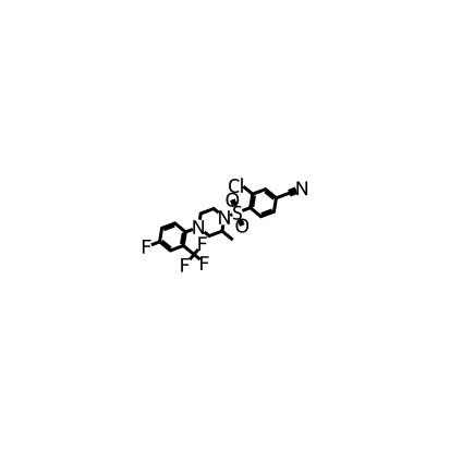 CC1CN(c2ccc(F)cc2C(F)(F)F)CCN1S(=O)(=O)c1ccc(C#N)cc1Cl